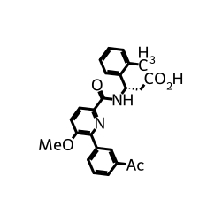 COc1ccc(C(=O)N[C@@H](CC(=O)O)c2ccccc2C)nc1-c1cccc(C(C)=O)c1